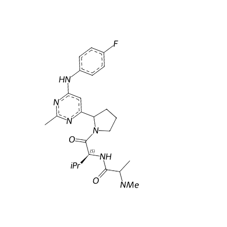 CNC(C)C(=O)N[C@H](C(=O)N1CCCC1c1cc(Nc2ccc(F)cc2)nc(C)n1)C(C)C